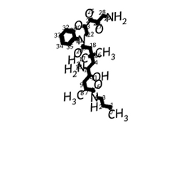 CCCCNC(=O)[C@H](C)C[C@H](O)[C@@H](N)CC(C)(C)CC(=O)N1C[C@H](C(=O)C(=O)CN)Oc2ccccc21